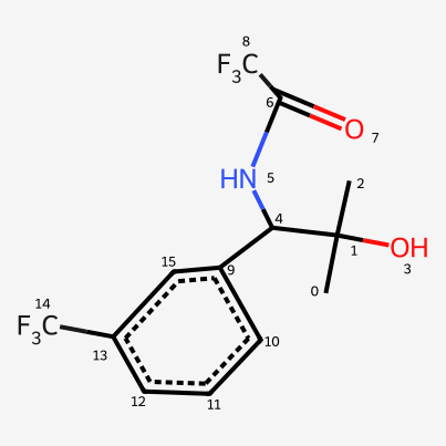 CC(C)(O)C(NC(=O)C(F)(F)F)c1cccc(C(F)(F)F)c1